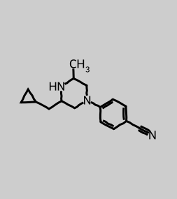 CC1CN(c2ccc(C#N)cc2)CC(CC2CC2)N1